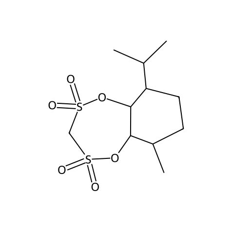 CC(C)C1CCC(C)C2OS(=O)(=O)CS(=O)(=O)OC12